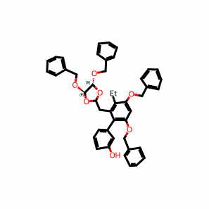 CCc1c(OCc2ccccc2)cc(OCc2ccccc2)c(-c2cccc(O)c2)c1CC1O[C@@H](OCc2ccccc2)[C@H](OCc2ccccc2)O1